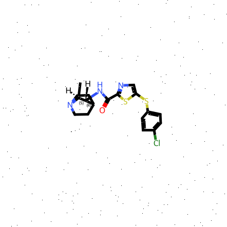 C[C@H]1[C@H](NC(=O)c2ncc(Sc3ccc(Cl)cc3)s2)C2CCN1CC2